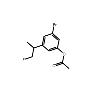 [CH2]C(CF)c1cc(Br)cc(OC(C)=O)c1